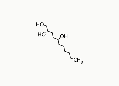 CCCCCC[C@H](O)CC[C@H](O)CO